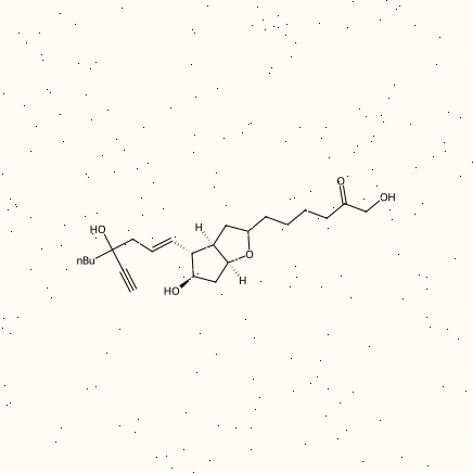 C#CC(O)(C/C=C/[C@@H]1[C@H]2CC(CCCCC(=O)CO)O[C@H]2C[C@H]1O)CCCC